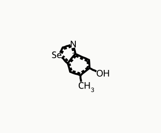 Cc1cc2[se]cnc2cc1O